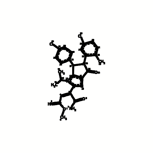 COC(=N)/C=C(\C(N)=O)c1nc2c(n1C(C)C)C(c1ccc(Cl)cc1)N(c1cc(Cl)ccc1C)C2=O